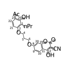 CCCc1c(OCCCOc2ccc3c(O)c(C#N)c(=O)oc3c2)ccc(C(C)=O)c1O